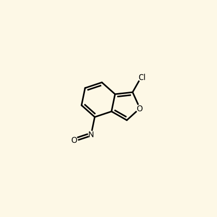 O=Nc1cccc2c(Cl)occ12